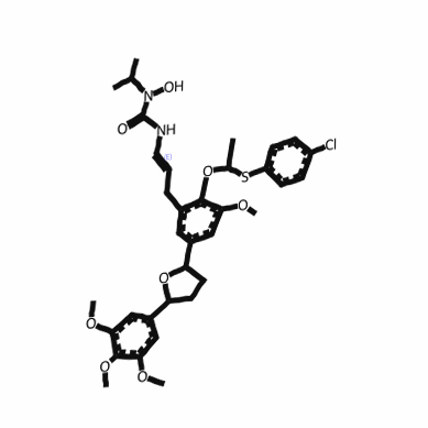 COc1cc(C2CCC(c3cc(OC)c(OC)c(OC)c3)O2)cc(C/C=C/NC(=O)N(O)C(C)C)c1OC(C)Sc1ccc(Cl)cc1